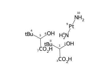 CC(C)(C)C(O)C(=O)O.CC(C)(C)C(O)C(=O)O.[NH2][Pt][NH2]